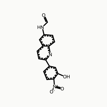 O=CNc1ccc2nc(-c3ccc([N+](=O)[O-])c(O)c3)ccc2c1